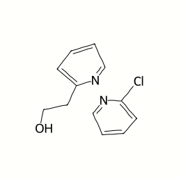 Clc1ccccn1.OCCc1ccccn1